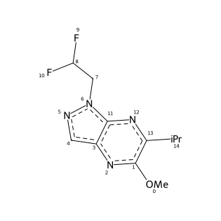 COc1nc2cnn(CC(F)F)c2nc1C(C)C